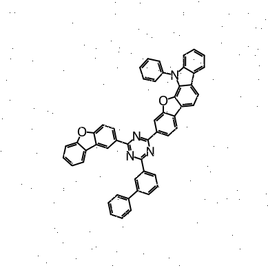 c1ccc(-c2cccc(-c3nc(-c4ccc5c(c4)oc4c5ccc5c6ccccc6n(-c6ccccc6)c54)nc(-c4ccc5oc6ccccc6c5c4)n3)c2)cc1